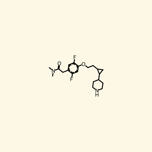 CN(C)C(=O)Cc1cc(F)c(OCCC2CC2C2CCNCC2)cc1F